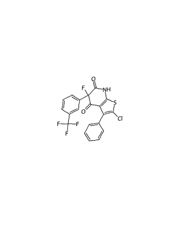 O=C1Nc2sc(Cl)c(-c3ccccc3)c2C(=O)C1(F)c1cccc(C(F)(F)F)c1